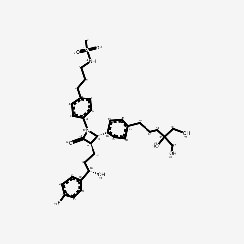 CS(=O)(=O)NCCCc1ccc(N2C(=O)[C@H](CC[C@H](O)c3ccc(F)cc3)[C@H]2c2ccc(CCCC(O)(CO)CO)cc2)cc1